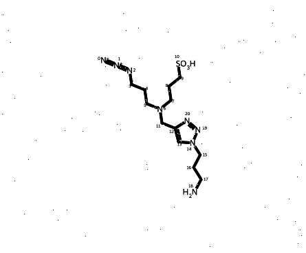 [N-]=[N+]=NCCCN(CCCS(=O)(=O)O)Cc1cn(CCCN)nn1